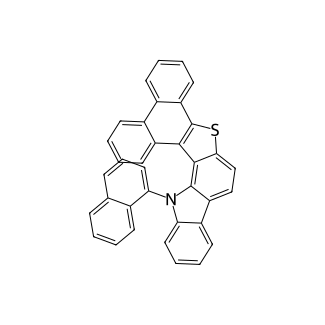 c1ccc2c(-n3c4ccccc4c4ccc5sc6c7ccccc7c7ccccc7c6c5c43)cccc2c1